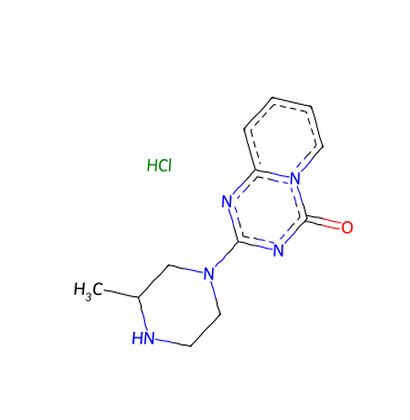 CC1CN(c2nc(=O)n3ccccc3n2)CCN1.Cl